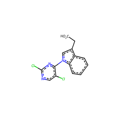 O=C(O)Cc1cn(-c2nc(Cl)ncc2Cl)c2ccccc12